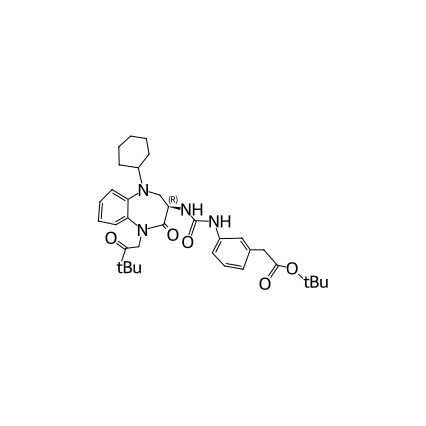 CC(C)(C)OC(=O)Cc1cccc(NC(=O)N[C@@H]2CN(C3CCCCC3)c3ccccc3N(CC(=O)C(C)(C)C)C2=O)c1